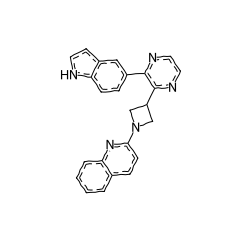 c1ccc2nc(N3CC(c4nccnc4-c4ccc5[nH]ccc5c4)C3)ccc2c1